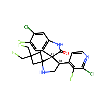 O=C1Nc2cc(Cl)c(F)cc2[C@@]12[C@@H](c1ccnc(Cl)c1F)CNC21CC(CF)(CF)C1